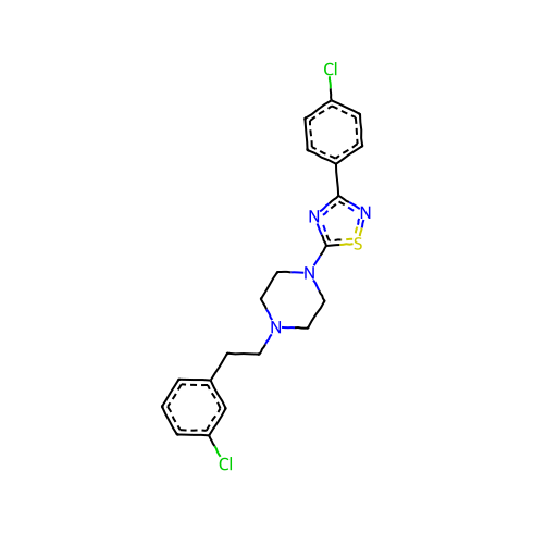 Clc1ccc(-c2nsc(N3CCN(CCc4cccc(Cl)c4)CC3)n2)cc1